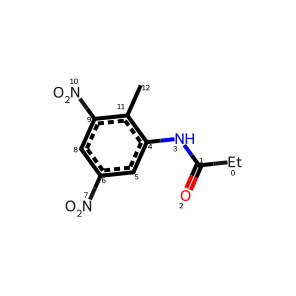 CCC(=O)Nc1cc([N+](=O)[O-])cc([N+](=O)[O-])c1C